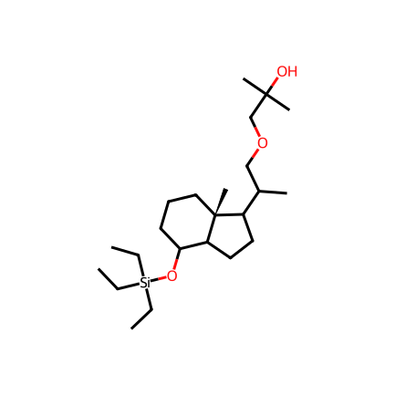 CC[Si](CC)(CC)OC1CCC[C@]2(C)C(C(C)COCC(C)(C)O)CCC12